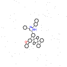 C1=C(c2ccccc2)N=C(c2ccc3ccccc3c2)NC1c1ccc2c(c1)-c1cc3oc4ccccc4c3cc1C21c2ccccc2C2(c3ccccc3-c3ccccc32)c2ccccc21